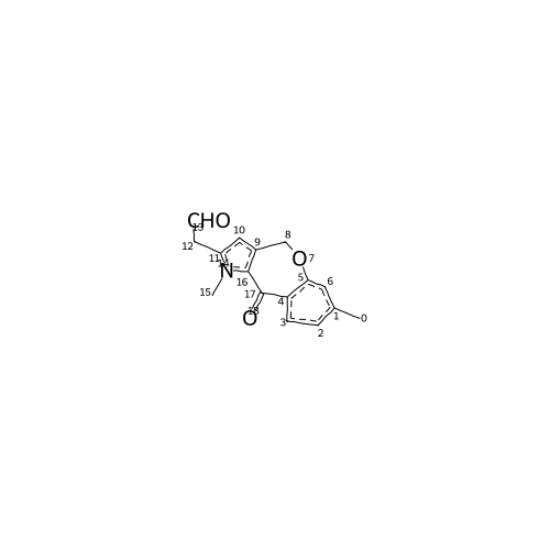 Cc1ccc2c(c1)OCc1cc(CC=O)n(C)c1C2=O